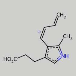 C=C/C=C\c1c(CCC(=O)O)c[nH]c1C